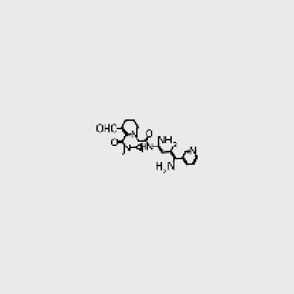 CC(/C=C(\N)NC(=O)CN1CCCC(C=O)=C1C(=O)N(C)C1CC1)=C(/N)c1cccnc1